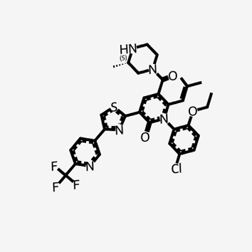 CCOc1ccc(Cl)cc1-n1c(C=C(C)C)c(C(=O)N2CCN[C@@H](C)C2)cc(-c2nc(-c3ccc(C(F)(F)F)nc3)cs2)c1=O